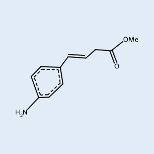 COC(=O)C/C=C/c1ccc(N)cc1